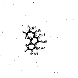 Cc1nc2c([c]([RaH])[c]1[RaH])[c]([RaH])[c]([RaH])c1[c]([RaH])[c]([RaH])c(C)nc12